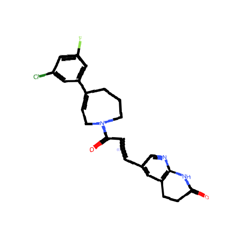 O=C1CCc2cc(/C=C/C(=O)N3CC=C(c4cc(F)cc(Cl)c4)CCC3)cnc2N1